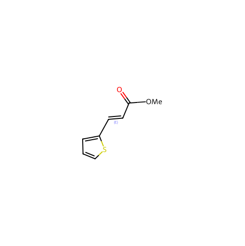 COC(=O)/C=C/c1cccs1